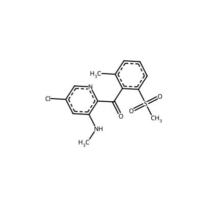 CNc1cc(Cl)cnc1C(=O)c1c(C)cccc1S(C)(=O)=O